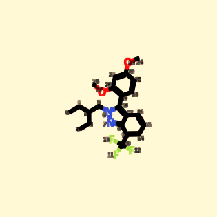 CCC(CC)Cn1nc2c(C(F)(F)F)cccc2c1-c1ccc(OC)cc1OC